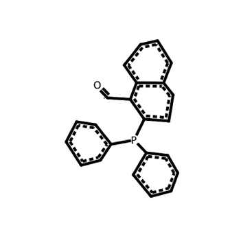 O=[C]c1c(P(c2ccccc2)c2ccccc2)ccc2ccccc12